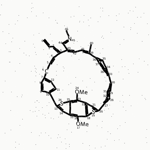 C=C\C=C1/C=C\Cc2ccc(cc2)-c2cc3c(OC)c4sc(cc4c(OC)c3s2)-c2ccc(cc2)-c2ccc(cc2)\C(C)=C/C=C1\C=N\C